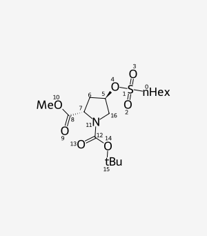 CCCCCCS(=O)(=O)O[C@@H]1C[C@@H](C(=O)OC)N(C(=O)OC(C)(C)C)C1